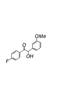 COc1cccc(C(O)C(=O)c2ccc(F)cc2)c1